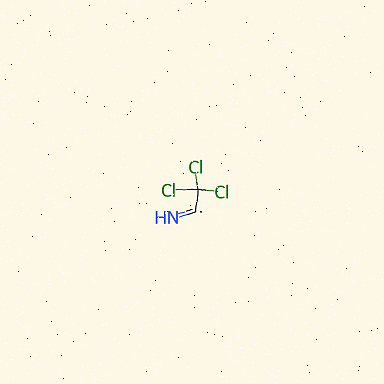 N=[C]C(Cl)(Cl)Cl